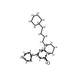 O=c1cc(-c2ccncc2)nc2n1CCCN2CCCCC1CCCCC1